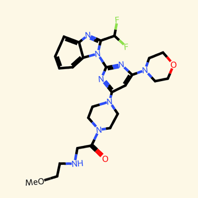 COCCNCC(=O)N1CCN(c2cc(N3CCOCC3)nc(-n3c(C(F)F)nc4ccccc43)n2)CC1